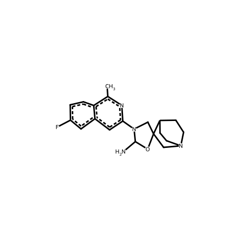 Cc1nc(N2CC3(CN4CCC3CC4)OC2N)cc2cc(F)ccc12